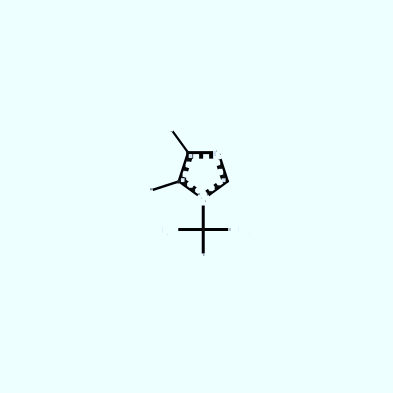 CC(C)(C)n1cnc(Cl)c1Cl